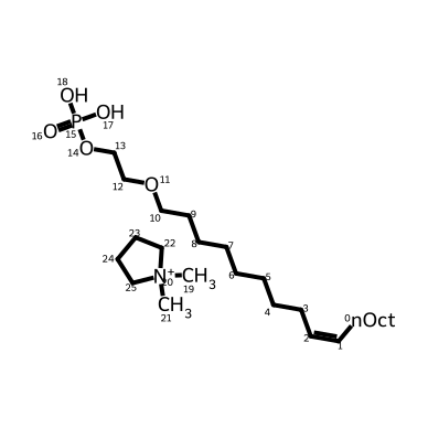 CCCCCCCC/C=C\CCCCCCCCOCCOP(=O)(O)O.C[N+]1(C)CCCC1